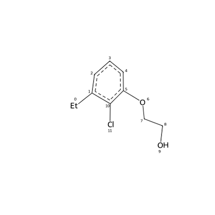 CCc1cccc(OCCO)c1Cl